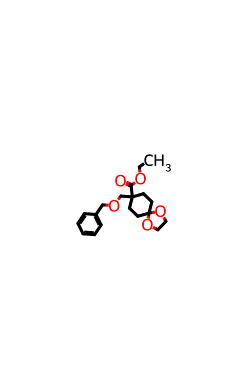 CCOC(=O)C1(COCc2ccccc2)CCC2(CC1)OCCO2